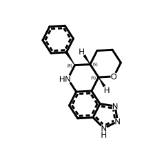 c1ccc([C@@H]2Nc3ccc4[nH]nnc4c3[C@H]3OCCC[C@H]32)cc1